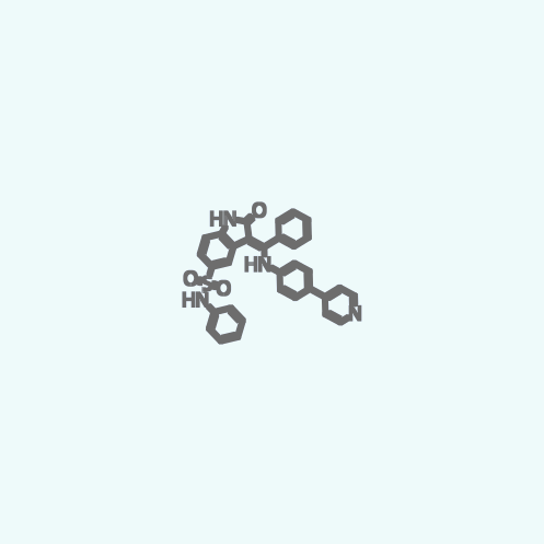 O=C1Nc2ccc(S(=O)(=O)Nc3ccccc3)cc2C1=C(Nc1ccc(-c2ccncc2)cc1)c1ccccc1